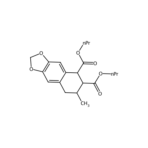 CCCOC(=O)C1c2cc3c(cc2CC(C)C1C(=O)OCCC)OCO3